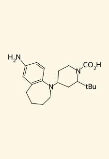 CC(C)(C)C1CC(N2CCCCc3cc(N)ccc32)CCN1C(=O)O